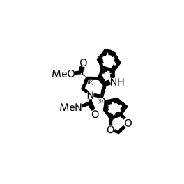 CNC(=O)N1C[C@H](C(=O)OC)c2c([nH]c3ccccc23)[C@@H]1c1ccc2c(c1)OCO2